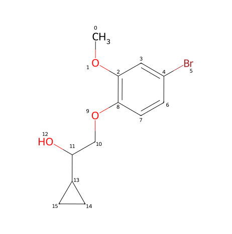 COc1cc(Br)ccc1OCC(O)C1CC1